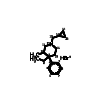 Br.CCC1(c2ccccc2)CCN(CC2CC2)CC1C